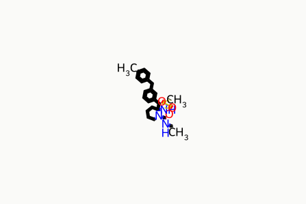 CCNC(=O)N1CCCCC1(Cc1cccc(Cc2ccc(C)cc2)c1)NS(C)(=O)=O